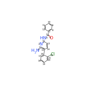 Nc1nc(NC(=O)c2ccccc2)ccc1-c1ccccc1Cl